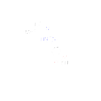 CSC(C)CN1CCCCC1c1nc(-c2ccc(S(C)(=O)=O)cc2)c[nH]1